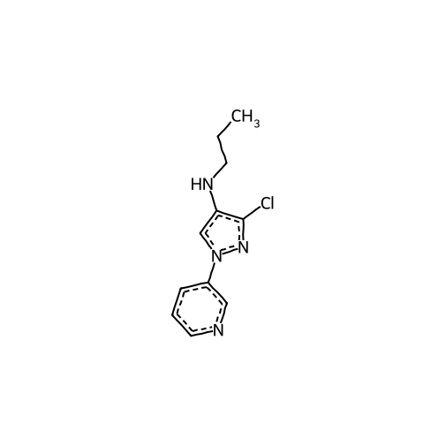 CCCNc1cn(-c2cccnc2)nc1Cl